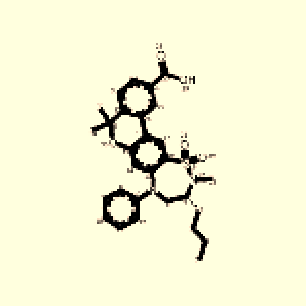 CCCC[C@@H]1CN(c2ccccc2)c2cc3c(cc2S(=O)(=O)N1C)-c1cc(C(=O)O)ccc1C(C)(C)O3